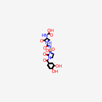 O=C(O)N[C@H]1CN(C(=O)NS(=O)(=O)N2CCN(C(=O)c3ccc(O)c(O)c3)C2=O)C1=O